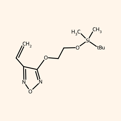 C=Cc1nonc1OCCO[Si](C)(C)C(C)(C)C